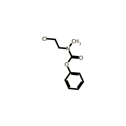 CN(CCCl)C(=O)Oc1ccccc1